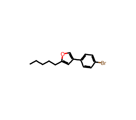 CCCCCc1cc(-c2ccc(Br)cc2)co1